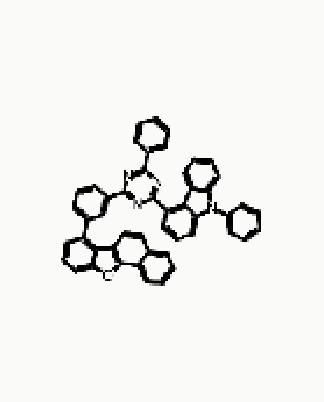 c1ccc(-c2nc(-c3cccc(-c4cccc5oc6c7ccccc7ccc6c45)c3)nc(-c3cccc4c3c3ccccc3n4-c3ccccc3)n2)cc1